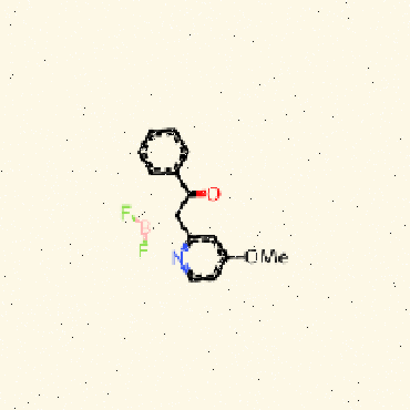 COc1ccnc(CC(=O)c2ccccc2)c1.F[B]F